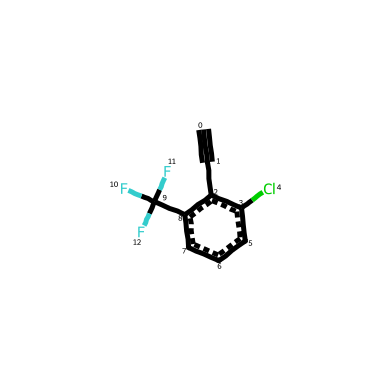 C#Cc1c(Cl)cccc1C(F)(F)F